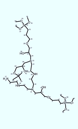 CO[Si](CCCOCC(O)CN(CCNCCN)CCNCCN(CC(O)COCCC[Si](OC)(OC)OC)CC(O)COC(C)(C)C)(OC)OC